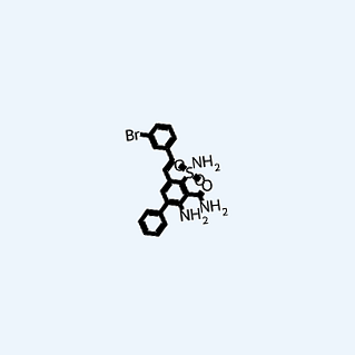 NC(=O)c1c(N)c(-c2ccccc2)cc(/C=C/c2cccc(Br)c2)c1S(N)(=O)=O